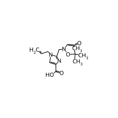 C=CCn1cc(C(=O)O)nc1CN(C=C=O)OC(C)(C)C